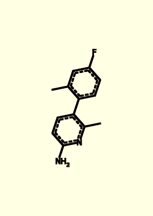 Cc1cc(F)ccc1-c1ccc(N)nc1C